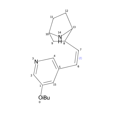 CC(C)COc1cncc(/C=C\C2CC3CCC2N3)c1